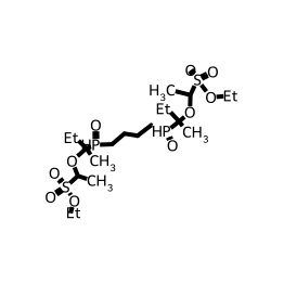 CCOS(=O)(=O)C(C)OC(C)(CC)[PH](=O)CCCC[PH](=O)C(C)(CC)OC(C)S(=O)(=O)OCC